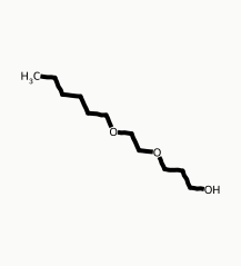 CCCCCCOCCOCCCO